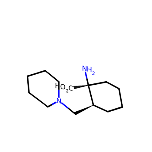 N[C@]1(C(=O)O)CCCC[C@H]1CN1CCCCC1